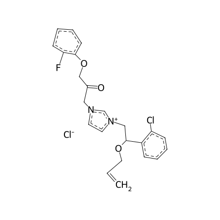 C=CCOC(C[n+]1ccn(CC(=O)COc2ccccc2F)c1)c1ccccc1Cl.[Cl-]